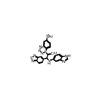 C=C(C(Nc1ccc2[nH]cnc2c1)c1ccc2nsnc2c1)N(/N=N\N)c1ccc(C(C)(C)C)cc1